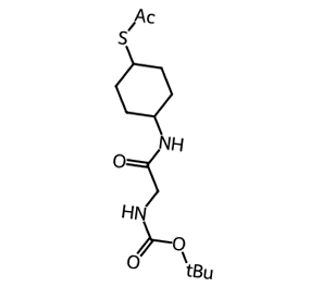 CC(=O)SC1CCC(NC(=O)CNC(=O)OC(C)(C)C)CC1